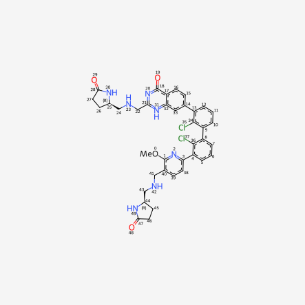 COc1nc(-c2cccc(-c3cccc(-c4ccc5c(=O)nc(CNC[C@H]6CCC(=O)N6)[nH]c5c4)c3Cl)c2Cl)ccc1CNC[C@H]1CCC(=O)N1